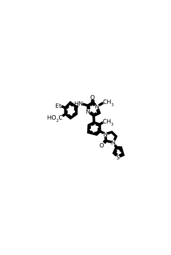 CCc1cc(Nc2nc(-c3cccc(N4CCN(c5ccsc5)C4=O)c3C)cn(C)c2=O)ccc1C(=O)O